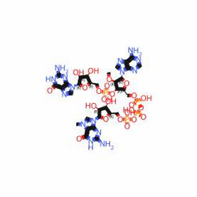 CO[C@@H]1[C@H](OP(=O)(O)OC[C@H]2O[C@@H](n3cnc4c(=O)[nH]c(N)nc43)[C@H](O)[C@@H]2O)[C@@H](COP(=O)(O)OP(=O)(O)OP(=O)(O)OC[C@H]2OC(n3c[n+](C)c4c(=O)[nH]c(N)nc43)[C@H](O)[C@@H]2O)O[C@H]1n1cnc2c(N)ncnc21